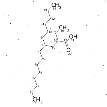 CCCCCCCCC(CCCCCC)CC(CC)C(=O)O